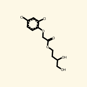 O=C(COc1ccc(Cl)cc1Cl)OCCC(O)CO